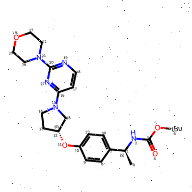 C[C@H](NC(=O)OC(C)(C)C)c1ccc(O[C@@H]2CCN(c3ccnc(N4CCOCC4)n3)C2)cc1